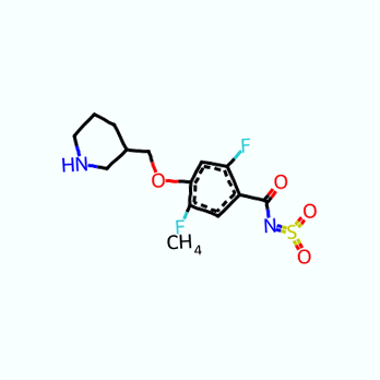 C.O=C(N=S(=O)=O)c1cc(F)c(OCC2CCCNC2)cc1F